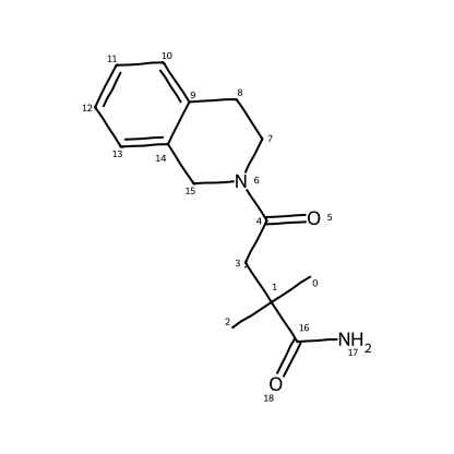 CC(C)([CH]C(=O)N1CCc2ccccc2C1)C(N)=O